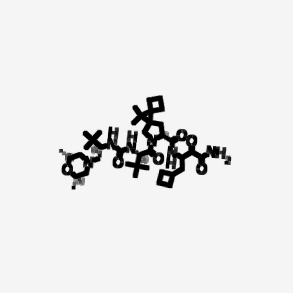 C[C@@H]1CN(C[C@@H](NC(=O)N[C@H](C(=O)N2CC3(C[C@H]2C(=O)NC(CC2CCC2)C(=O)C(N)=O)C(C)(C)C32CCC2)C(C)(C)C)C(C)(C)C)C[C@H](C)O1